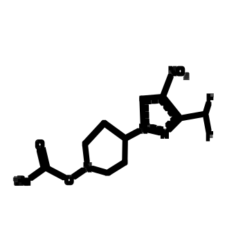 CC(C)(C)C(=O)ON1CCC(n2cc([N+](=O)[O-])c(C(F)F)n2)CC1